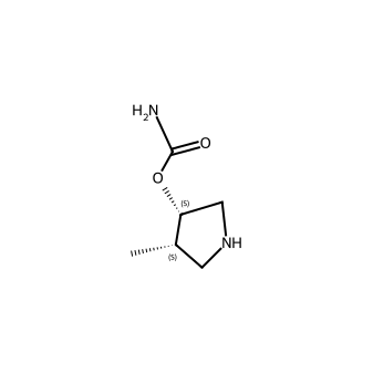 C[C@H]1CNC[C@H]1OC(N)=O